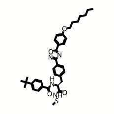 CCCCCCCOc1ccc(-c2nc(-c3ccc(C[C@H](NC(=O)c4ccc(C(C)(C)C)cc4)C(=O)NSC)cc3)no2)cc1